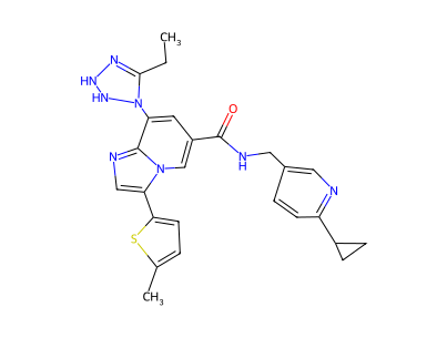 CCC1=NNNN1c1cc(C(=O)NCc2ccc(C3CC3)nc2)cn2c(-c3ccc(C)s3)cnc12